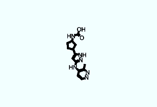 Cc1nnccc1Nc1cc(C2CCC(NC(=O)O)C2)[nH]n1